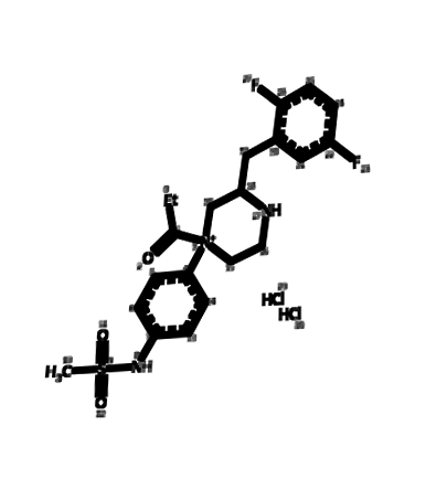 CCC(=O)[N+]1(c2ccc(NS(C)(=O)=O)cc2)CCNC(Cc2cc(F)ccc2F)C1.Cl.Cl